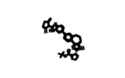 C=C1CCN[C@@H]1c1nc2ccc(-c3ccc4c(c3)CCCc3[nH]c([C@@H]5CCCN5C(=O)OC(C)(C)C)nc3-4)cc2[nH]1